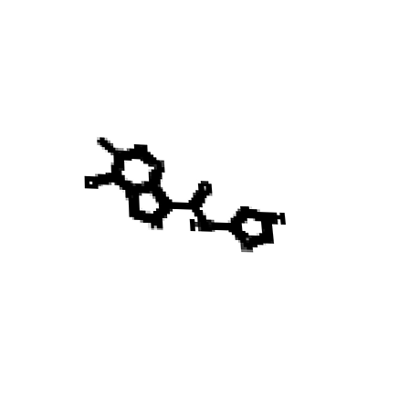 Cn1nnc2c(C(=O)Nc3c[nH]cn3)ncn2c1=O